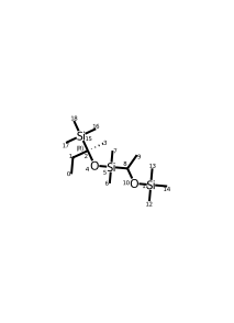 CC[C@](C)(O[Si](C)(C)C(C)O[Si](C)(C)C)[Si](C)(C)C